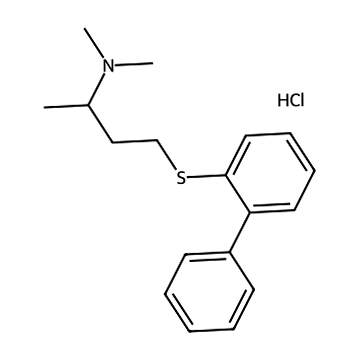 CC(CCSc1ccccc1-c1ccccc1)N(C)C.Cl